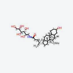 CO[C@@H]1C[C@@H]2C[C@H](O)CC[C@]2(C)[C@H]2CC[C@]3(C)[C@@H](C(C)CCC(=O)NC[C@H](O)[C@@H](O)[C@H](O)[C@H](O)CO)CC[C@H]3[C@H]12